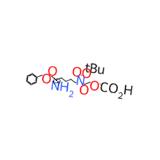 CC(C)(C)OC(=O)N(CCCC[C@H](N)C(=O)OCc1ccccc1)C(=O)COCC(=O)O